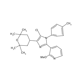 COc1ncccc1-c1nc(C2CC(C)(C)OC(C)(C)C2)c(Cl)n1-c1ccc(C)cc1